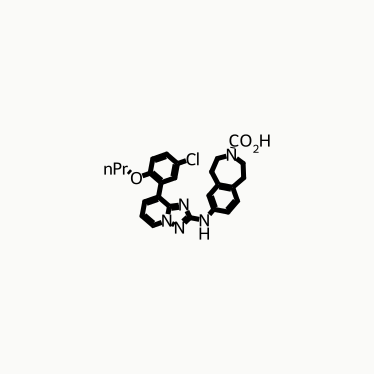 CCCOc1ccc(Cl)cc1-c1cccn2nc(Nc3ccc4c(c3)CCN(C(=O)O)CC4)nc12